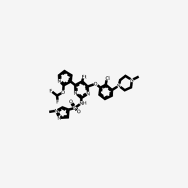 CCc1c(Oc2cccc(N3CCN(C)CC3)c2Cl)nc(NS(=O)(=O)c2cnn(C)c2)nc1-c1cccnc1OC(F)F